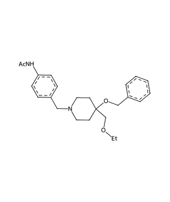 CCOCC1(OCc2ccccc2)CCN(Cc2ccc(NC(C)=O)cc2)CC1